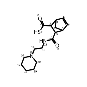 O=C(S)C1C2C=CC(C2)C1C(=O)NCCN1CCCCC1